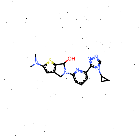 CN(C)c1cc2c(s1)C(O)N(c1cccc(-c3nncn3C3CC3)n1)C2